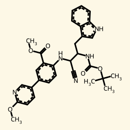 COC(=O)c1cc(-c2ccc(OC)nc2)ccc1NC(C#N)C(Cc1c[nH]c2ccccc12)NC(=O)OC(C)(C)C